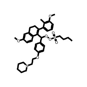 CCCCS(=O)(=O)OOC(C1=C(c2cccc(OC)c2C)CCc2cc(OC)ccc21)c1ccc(OCCN2CCCCC2)cc1